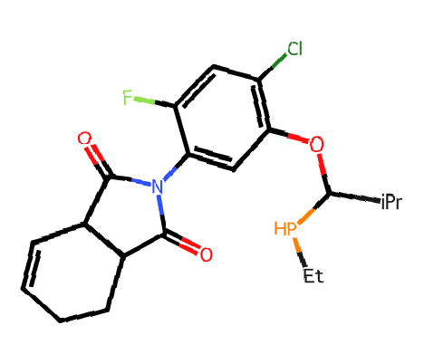 CCPC(Oc1cc(N2C(=O)C3C=CCCC3C2=O)c(F)cc1Cl)C(C)C